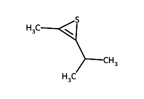 CC1=C(C(C)C)S1